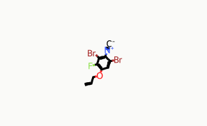 [C-]#[N+]c1c(Br)cc(OCC=C)c(F)c1Br